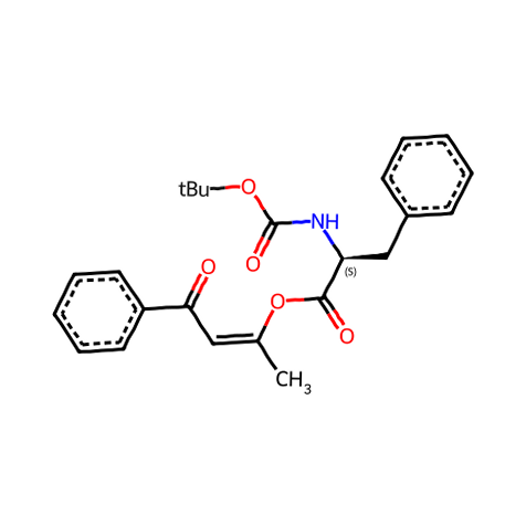 CC(=CC(=O)c1ccccc1)OC(=O)[C@H](Cc1ccccc1)NC(=O)OC(C)(C)C